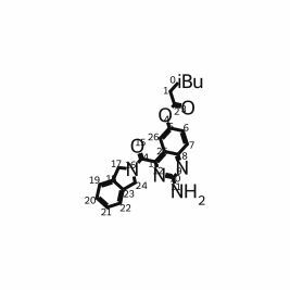 CCC(C)CC(=O)Oc1ccc2nc(N)nc(C(=O)N3Cc4ccccc4C3)c2c1